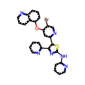 Brc1cnc(-c2sc(Nc3ccccn3)nc2-c2ccccn2)cc1Oc1cccc2ncccc12